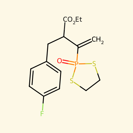 C=C(C(Cc1ccc(F)cc1)C(=O)OCC)P1(=O)SCCS1